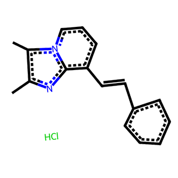 Cc1nc2c(C=Cc3ccccc3)cccn2c1C.Cl